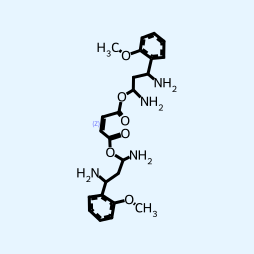 COc1ccccc1C(N)CC(N)OC(=O)/C=C\C(=O)OC(N)CC(N)c1ccccc1OC